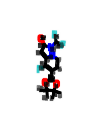 CC1(C)OB(c2ccn3c(cc(=O)n3C(F)F)c2F)OC1(C)C